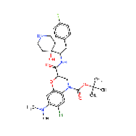 CN(C)c1cc2c(cc1Cl)N(C(=O)OC(C)(C)C)CC(C(=O)NC(Cc1ccc(F)cc1)C1(O)CCNCC1)O2